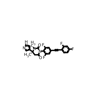 CN1C(=O)N(c2c(F)cc(C#Cc3ccc(F)cc3F)cc2F)C(=O)C[C@@]1(C)c1cn[nH]c1